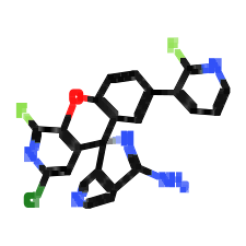 NC1=N[C@]2(c3cc(-c4cccnc4F)ccc3Oc3c2cc(Cl)nc3F)c2cnccc21